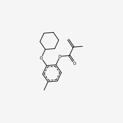 C=C(C)C(=O)Oc1ccc(C)cc1OC1CCCCC1